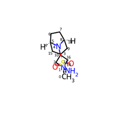 CN1CC(N2[C@@H]3CC[C@H]2C[C@H](S(N)(=O)=O)C3)C1